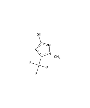 C.FC(F)(F)c1nnc(S)s1